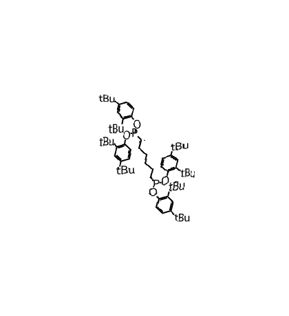 CC(C)(C)c1ccc(OP([CH]CCCCCP(Oc2ccc(C(C)(C)C)cc2C(C)(C)C)Oc2ccc(C(C)(C)C)cc2C(C)(C)C)Oc2ccc(C(C)(C)C)cc2C(C)(C)C)c(C(C)(C)C)c1